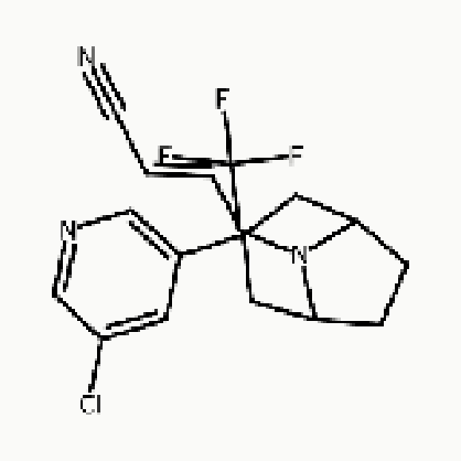 N#C/C=C/C1(c2cncc(Cl)c2)CC2CCC(C1)N2CC(F)(F)F